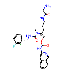 CN(C(=O)NCc1cccc(F)c1Cl)[C@@H](CCCNC(=O)CN)COC(=O)Nc1cc2ccccc2cn1